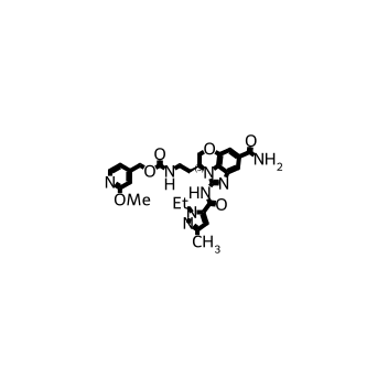 CCn1nc(C)cc1C(=O)Nc1nc2cc(C(N)=O)cc3c2n1[C@@H](CCNC(=O)OCc1ccnc(OC)c1)CO3